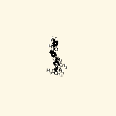 CC1c2ncnc(Oc3ccc4c(c3)CCN4C(=O)Nc3cccc(C(F)(F)F)c3)c2CCN1C(=O)OC(C)(C)C